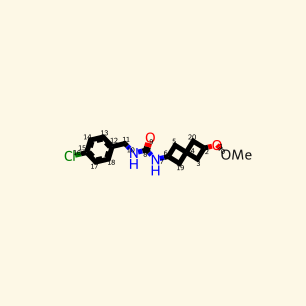 COOC1CC2(CC(NC(=O)NCc3ccc(Cl)cc3)C2)C1